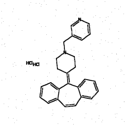 C1=Cc2ccccc2C(=C2CCN(Cc3cccnc3)CC2)c2ccccc21.Cl.Cl